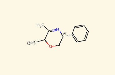 CC1=N[C@H](c2ccccc2)COC1C=O